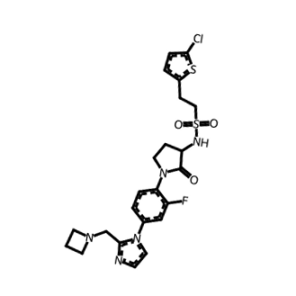 O=C1C(NS(=O)(=O)CCc2ccc(Cl)s2)CCN1c1ccc(-n2ccnc2CN2CCC2)cc1F